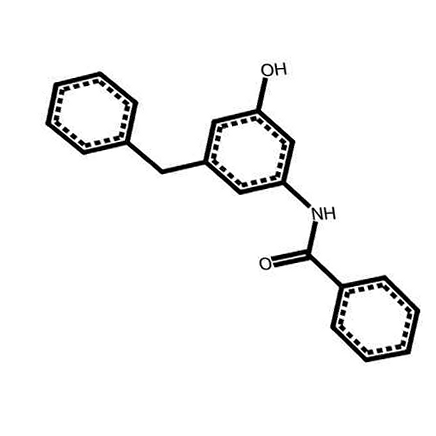 O=C(Nc1cc(O)cc(Cc2ccccc2)c1)c1ccccc1